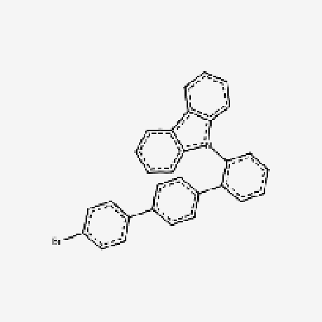 Brc1ccc(-c2ccc(-c3ccccc3-n3c4ccccc4c4ccccc43)cc2)cc1